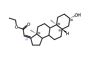 CCOC(=O)/C=C1/CCC2C3CC[C@H]4C[C@@H](O)CC[C@]4(C)C3CC[C@]12C